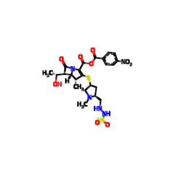 C[C@@H](O)[C@H]1C(=O)N2C(C(=O)OC(=O)c3ccc([N+](=O)[O-])cc3)=C(SC3C[C@@H](CNN[SH](=O)=O)N(C)C3)[C@H](C)[C@H]12